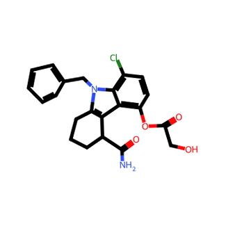 NC(=O)C1CCCc2c1c1c(OC(=O)CO)ccc(Cl)c1n2Cc1ccccc1